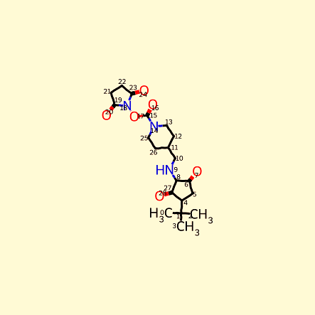 CC(C)(C)C1CC(=O)C(NCC2CCN(C(=O)ON3C(=O)CCC3=O)CC2)C1=O